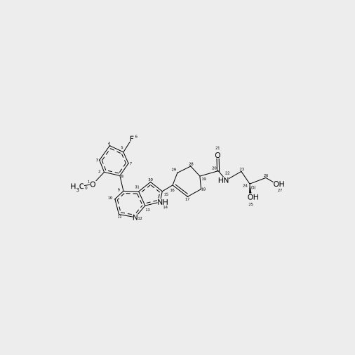 COc1ccc(F)cc1-c1ccnc2[nH]c(C3=CCC(C(=O)NC[C@H](O)CO)CC3)cc12